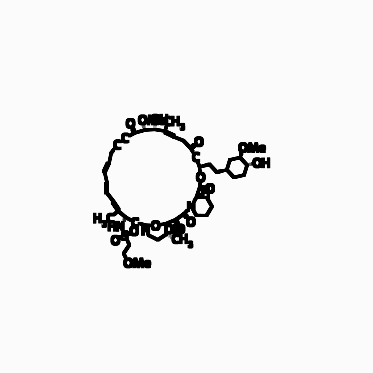 COCCS(=O)(=O)N[C@H]1C[C@@H]2CC[C@@H](C)[C@@](O)(O2)C(=O)C(=O)N2CCCC[C@H]2C(=O)O[C@H](CC[C@@H]2CC[C@@H](O)[C@H](OC)C2)CC(=O)C/C=C(\C)[C@@H](O)[C@@H](OC)C(=O)CCC/C=C/C=C/C=C/1C